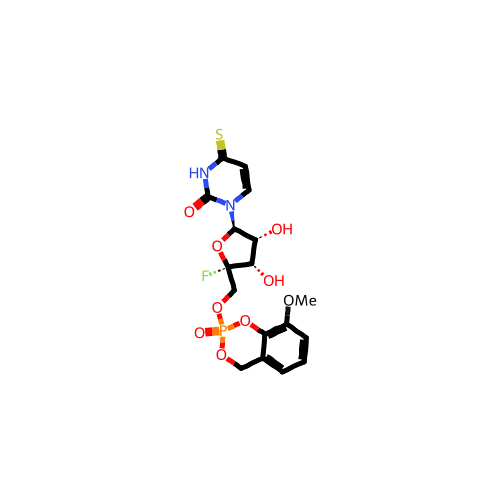 COc1cccc2c1OP(=O)(OC[C@@]1(F)O[C@@H](n3ccc(=S)[nH]c3=O)[C@H](O)[C@@H]1O)OC2